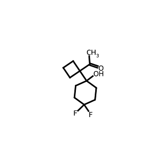 CC(=O)C1(C2(O)CCC(F)(F)CC2)CCC1